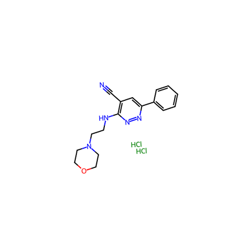 Cl.Cl.N#Cc1cc(-c2ccccc2)nnc1NCCN1CCOCC1